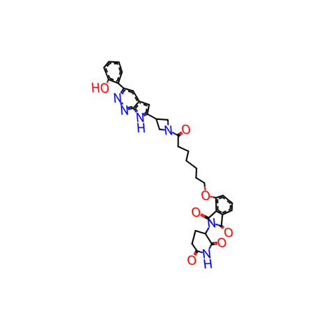 O=C1CCC(N2C(=O)c3cccc(OCCCCCCC(=O)N4CC(c5cc6cc(-c7ccccc7O)nnc6[nH]5)C4)c3C2=O)C(=O)N1